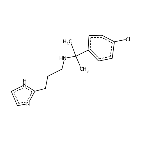 CC(C)(NCCCc1ncc[nH]1)c1ccc(Cl)cc1